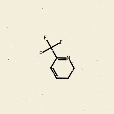 FC(F)(F)C1=NCCC=C1